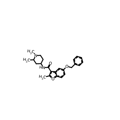 Cc1oc2ccc(OCc3ccccc3)cc2c1C(=O)NC1CCN(C)C(C)C1